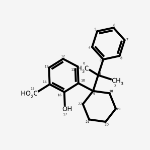 CC(C)(c1ccccc1)C1(c2cccc(C(=O)O)c2O)CCCCC1